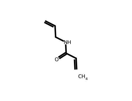 C.C=CCNC(=O)C=C